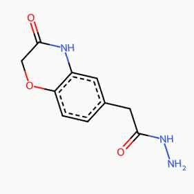 NNC(=O)Cc1ccc2c(c1)NC(=O)CO2